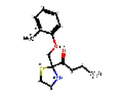 CCOC(=O)CCC(=O)C1(COc2ccccc2OC)NCCS1